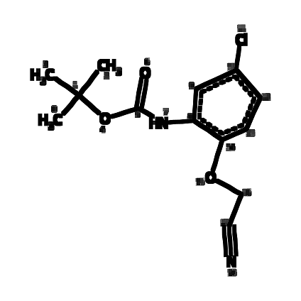 CC(C)(C)OC(=O)Nc1cc(Cl)ccc1OCC#N